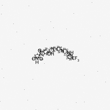 O=C1CCC(N2Cc3cc(C4(O)CCN(Cc5ccc(N6CCC(Nc7cccc(C(F)(F)F)n7)CC6)cc5)CC4)ccc3C2=O)C(=O)N1